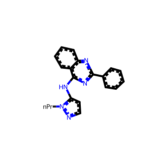 CCCn1nccc1Nc1nc(-c2ccccc2)nc2ccccc12